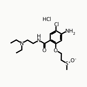 CCN(CC)CCNC(=O)c1cc(Cl)c(N)cc1OCC[S+](C)[O-].Cl